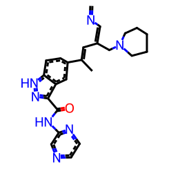 C=N/C=C(\C=C(/C)c1ccc2[nH]nc(C(=O)Nc3cnccn3)c2c1)CN1CCCCC1